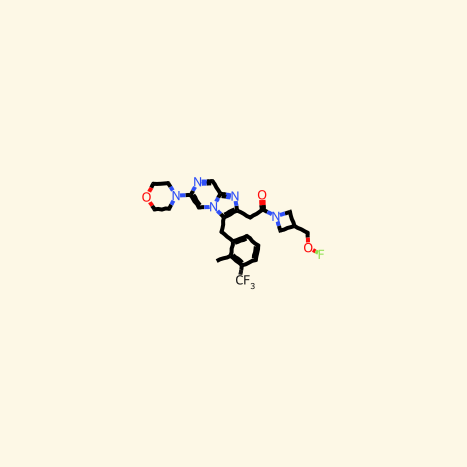 Cc1c(Cc2c(CC(=O)N3CC(COF)C3)nc3cnc(N4CCOCC4)cn23)cccc1C(F)(F)F